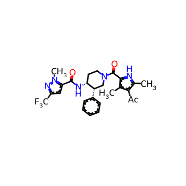 CC(=O)c1c(C)[nH]c(C(=O)N2CC[C@@H](NC(=O)c3cc(C(F)(F)F)nn3C)[C@@H](c3ccccc3)C2)c1C